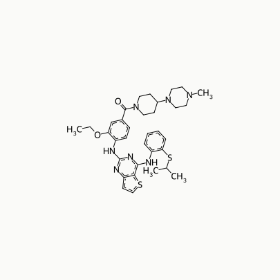 CCOc1cc(C(=O)N2CCC(N3CCN(C)CC3)CC2)ccc1Nc1nc(Nc2ccccc2SC(C)C)c2sccc2n1